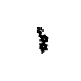 NN=CCc1ccnc(-c2ccc(F)cc2)c1